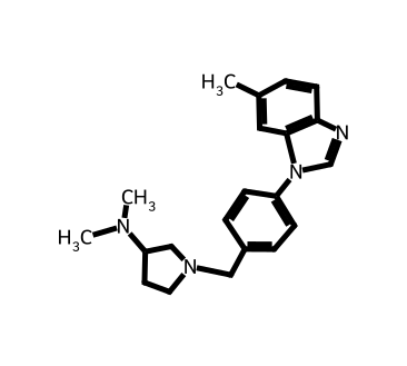 Cc1ccc2ncn(-c3ccc(CN4CCC(N(C)C)C4)cc3)c2c1